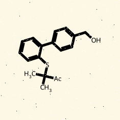 CC(=O)C(C)(C)Sc1ccccc1-c1ccc(CO)cc1